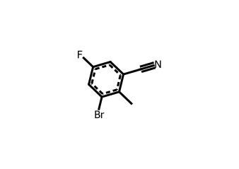 Cc1c(Br)cc(F)cc1C#N